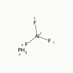 P.[F][Al]([F])[F]